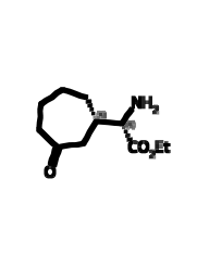 CCOC(=O)[C@@H](N)[C@H]1CCCCC(=O)C1